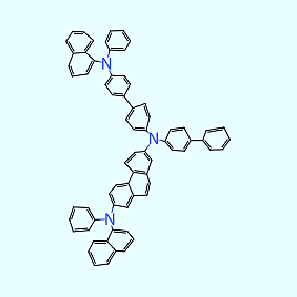 c1ccc(-c2ccc(N(c3ccc(-c4ccc(N(c5ccccc5)c5cccc6ccccc56)cc4)cc3)c3ccc4c(ccc5cc(N(c6ccccc6)c6cccc7ccccc67)ccc54)c3)cc2)cc1